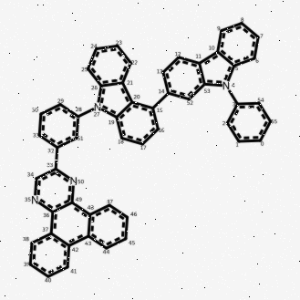 c1ccc(-n2c3ccccc3c3ccc(-c4cccc5c4c4ccccc4n5-c4cccc(-c5cnc6c7ccccc7c7ccccc7c6n5)c4)cc32)cc1